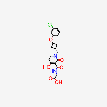 O=C(O)CNC(=O)C1=C(O)CCN(C[C@H]2C[C@H](Oc3cccc(Cl)c3)C2)C1=O